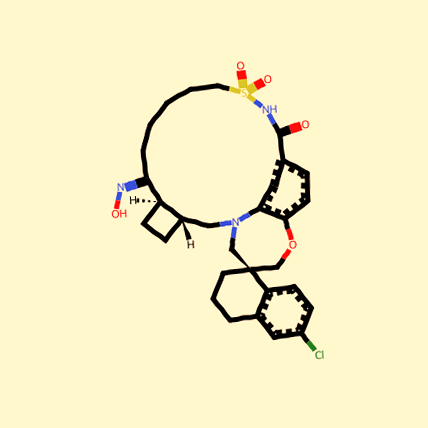 O=C1NS(=O)(=O)CCCCC/C(=N/O)[C@@H]2CC[C@H]2CN2C[C@@]3(CCCc4cc(Cl)ccc43)COc3ccc1cc32